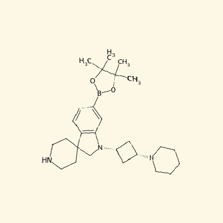 CC1(C)OB(c2ccc3c(c2)N([C@H]2C[C@@H](N4CCCCC4)C2)CC32CCNCC2)OC1(C)C